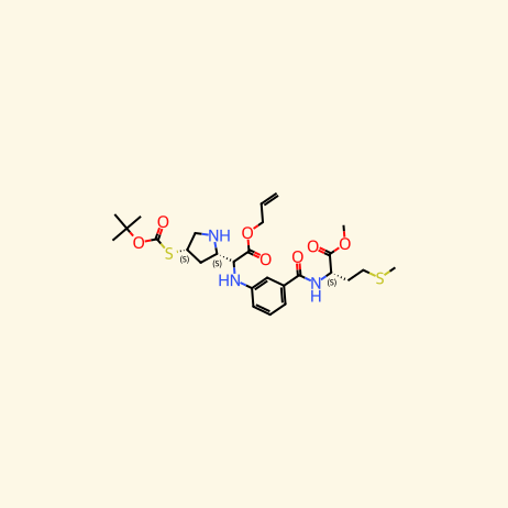 C=CCOC(=O)C(Nc1cccc(C(=O)N[C@@H](CCSC)C(=O)OC)c1)[C@@H]1C[C@H](SC(=O)OC(C)(C)C)CN1